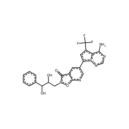 Nc1ncnn2c(-c3cnc4on(CC(O)C(O)c5ccccc5)c(=O)c4c3)cc(C(F)(F)F)c12